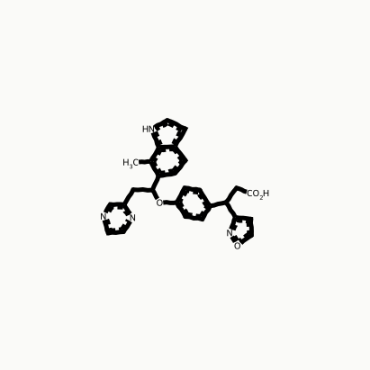 Cc1c(C(Cc2cnccn2)Oc2ccc(C(CC(=O)O)c3ccon3)cc2)ccc2cc[nH]c12